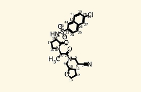 C[C@@H](C(=O)N(CCC#N)CC1CCCO1)N1CC[C@H](NS(=O)(=O)c2ccc3cc(Cl)ccc3c2)C1=O